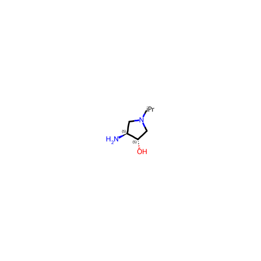 CC(C)N1C[C@H](N)[C@@H](O)C1